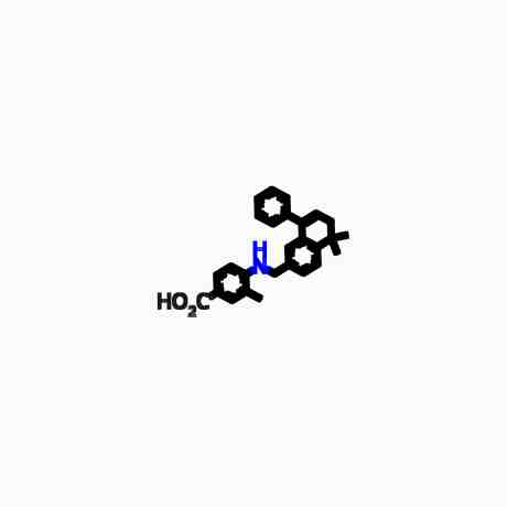 Cc1cc(C(=O)O)ccc1NCc1ccc2c(c1)C(c1ccccc1)=CCC2(C)C